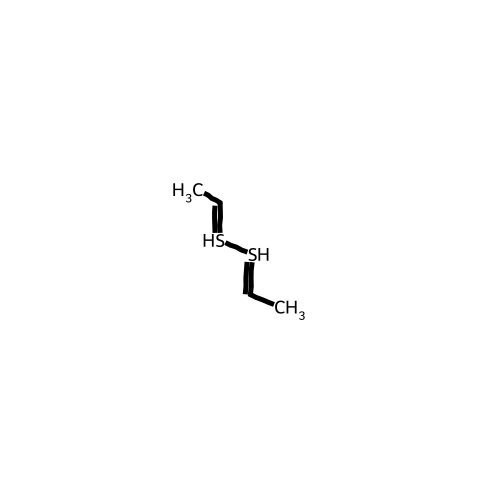 CC=[SH][SH]=CC